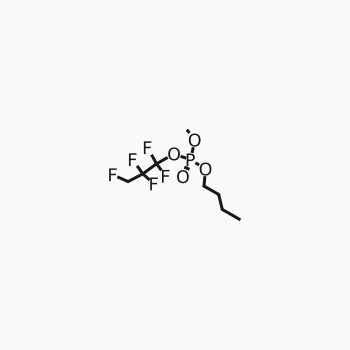 CCCCOP(=O)(OC)OC(F)(F)C(F)(F)CF